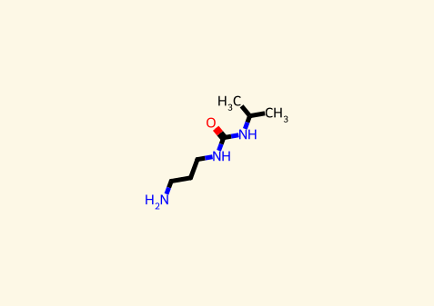 CC(C)NC(=O)NCCCN